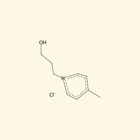 Cc1cc[n+](CCCO)cc1.[Cl-]